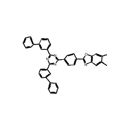 Cc1cc2nc(-c3ccc(-c4nc(-c5cccc(-c6ccccc6)c5)nc(-c5cccc(-c6ccccc6)c5)n4)cc3)oc2cc1C